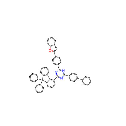 c1ccc(-c2ccc(-c3nc(-c4ccc(-c5cc6ccccc6o5)cc4)nc(-c4cccc5c4-c4ccccc4C5(c4ccccc4)c4ccccc4)n3)cc2)cc1